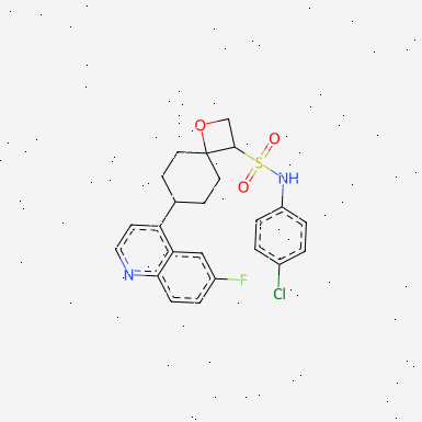 O=S(=O)(Nc1ccc(Cl)cc1)C1COC12CCC(c1ccnc3ccc(F)cc13)CC2